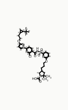 CC1(C)CC(CCCOc2cccc(S(=O)(=O)NC(=O)c3ccc(-n4ccc(OCCC5CC5C(F)(F)F)n4)nc3Cl)n2)CN1C(=O)O